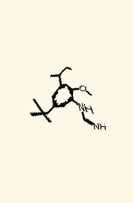 COc1c(NC=N)cc(C(C)(C)C)cc1C(C)C